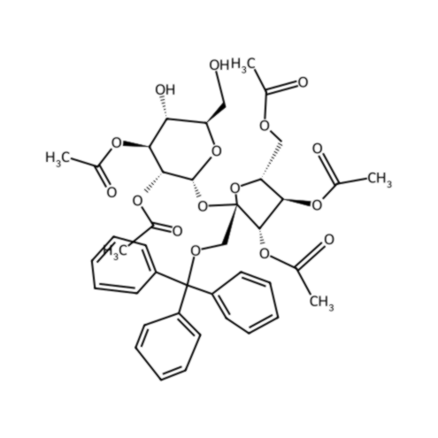 CC(=O)OC[C@H]1O[C@@](COC(c2ccccc2)(c2ccccc2)c2ccccc2)(O[C@H]2O[C@H](CO)[C@@H](O)[C@H](OC(C)=O)[C@H]2OC(C)=O)[C@@H](OC(C)=O)[C@@H]1OC(C)=O